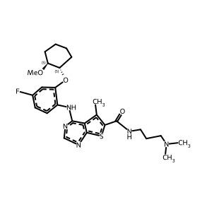 CO[C@H]1CCCC[C@@H]1Oc1cc(F)ccc1Nc1ncnc2sc(C(=O)NCCCN(C)C)c(C)c12